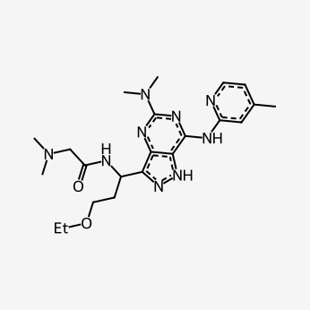 CCOCCC(NC(=O)CN(C)C)c1n[nH]c2c(Nc3cc(C)ccn3)nc(N(C)C)nc12